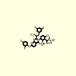 CNc1c(-n2c(C(N)Cc3cc(F)cc(F)c3)nc3nc(Oc4ccc(F)cc4F)ccc3c2=O)ccc(Cl)c1C(=N)N(C)[S+](C)[O-]